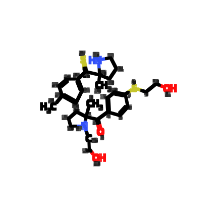 CC1(C(=O)c2ccc(SCCO)cc2)CCCN1CCO.Cc1ccc(C(=S)C2(C)CCCN2)cc1